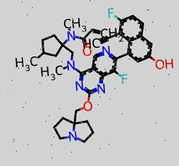 C#Cc1c(F)ccc2cc(O)cc(-c3ncc4c(N(C)CC5(N(C)C(=O)C=C)CCC(C)C5)nc(OCC56CCCN5CCC6)nc4c3F)c12